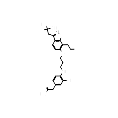 CCCc1c(OCCCNc2ccc(CC(=O)O)cc2Cl)ccc2c(CC(C)(C)C)noc12